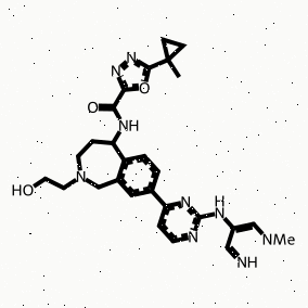 CN/C=C(\C=N)Nc1nccc(-c2ccc3c(c2)CN(CCO)CCC3NC(=O)c2nnc(C3(C)CC3)o2)n1